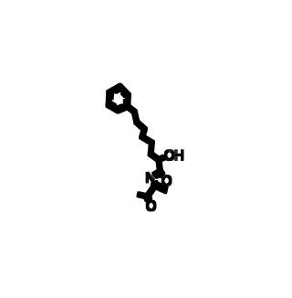 CC(=O)c1coc(C(O)CCCCCCc2ccccc2)n1